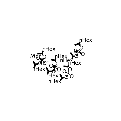 CCCCCCC(C)OP(=O)([O-])OC(C)CCCCCC.CCCCCCC(C)OP(=O)([O-])OC(C)CCCCCC.CCCCCCC(C)OP(=O)([O-])OC(C)CCCCCC.CCCCCCC(C)OP(=O)([O-])OC(C)CCCCCC.[Mo+4]